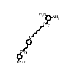 CCCCCCc1ccc(OC(=O)C=Cc2ccc(OCCCCCCCOC(=O)c3cc(N)cc(N)c3)cc2)cc1